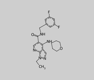 CCn1ncc2c(NC3CCOCC3)c(C(=O)NCc3cc(F)cc(F)c3)cnc21